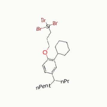 CCCCCC(CCC)c1ccc(OCCC[Si](Br)(Br)Br)c(C2CCCCC2)c1